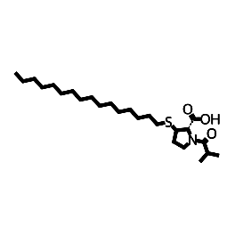 CCCCCCCCCCCCCCCCSC1CCN(C(=O)C(C)C)[C@H]1C(=O)O